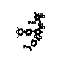 CSc1cc(C)[nH]c(=O)c1CNC(=O)c1cc(-c2ccc(N3C[C@@H](C)O[C@@H](C)C3)nc2)c2c(c1C)OC(C)([C@H]1CC[C@H](N(C)C(C)C)CC1)O2